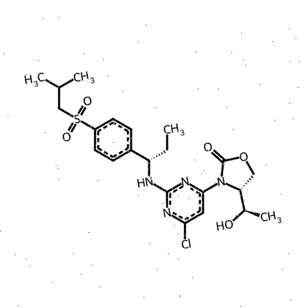 CC[C@H](Nc1nc(Cl)cc(N2C(=O)OC[C@@H]2[C@@H](C)O)n1)c1ccc(S(=O)(=O)CC(C)C)cc1